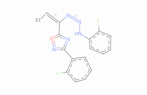 CC/C=C(/N=N\Nc1ccccc1F)c1nc(-c2ccccc2F)no1